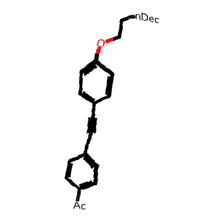 CCCCCCCCCCCCOc1ccc(C#Cc2ccc(C(C)=O)cc2)cc1